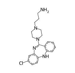 NCCCN1CCN(C2=Nc3cc(Cl)ccc3Nc3ccccc32)CC1